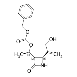 C=C(CO)[C@H]1NC(=O)[C@@H]1[C@@H](C)OC(=O)OCc1ccccc1